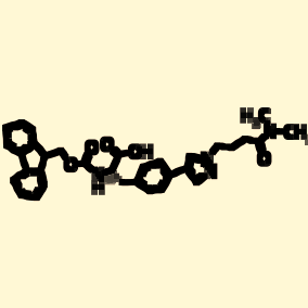 CN(C)C(=O)CCCn1cc(-c2ccc(C[C@H](NC(=O)OCC3c4ccccc4-c4ccccc43)C(=O)O)cc2)cn1